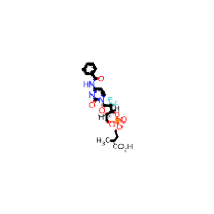 C[C@H](CCOP1(=O)OC[C@H]2O[C@@H](n3ccc(NC(=O)c4ccccc4)nc3=O)C(F)(F)[C@@H]2O1)C(=O)O